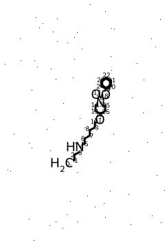 C=CCCNCCCCCCOC1CCN(C(=O)Oc2ccccc2)CC1